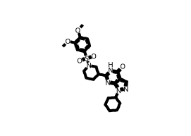 COc1ccc(S(=O)(=O)N2CCCC(c3nc4c(cnn4C4CCCCC4)c(=O)[nH]3)C2)cc1OC